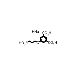 O=C(O)c1cc(OCCCS(=O)(=O)O)cc(C(=O)O)c1.[NaH]